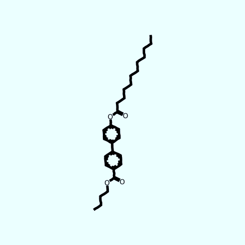 CCCCCCCCCCCC(=O)Oc1ccc(-c2ccc(C(=O)OCCCC)cc2)cc1